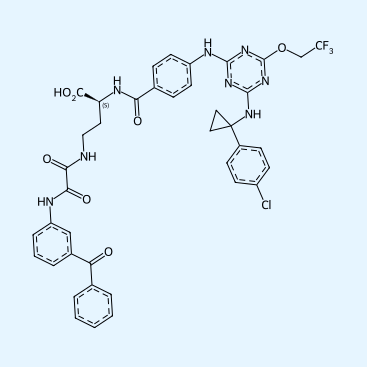 O=C(NCC[C@H](NC(=O)c1ccc(Nc2nc(NC3(c4ccc(Cl)cc4)CC3)nc(OCC(F)(F)F)n2)cc1)C(=O)O)C(=O)Nc1cccc(C(=O)c2ccccc2)c1